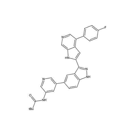 CC(C)(C)C(=O)Nc1cncc(-c2ccc3[nH]nc(-c4cc5c(-c6ccc(F)cc6)cncc5[nH]4)c3c2)c1